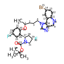 CC(CCCn1cnc2cnc3ccc(Br)cc3c21)Oc1ccc(F)cc1[C@H]1C[C@H](F)CN1C(=O)OC(C)(C)C